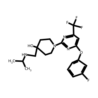 CC(C)NCC1(O)CCN(c2nc(Oc3cccc(F)c3)cc(C(F)(F)F)n2)CC1